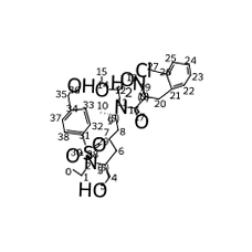 CCN([C@H](CO)CCC[C@H](C)N(C(=O)OC)C(=O)[C@@H](N)Cc1ccccc1Cl)S(=O)(=O)c1ccc(CO)cc1